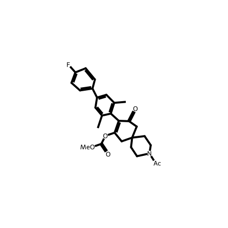 COC(=O)OC1=C(c2c(C)cc(-c3ccc(F)cc3)cc2C)C(=O)CC2(CCN(C(C)=O)CC2)C1